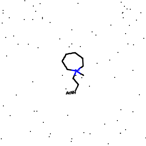 CC(=O)NCC[N+]1(C)CCCCCC1